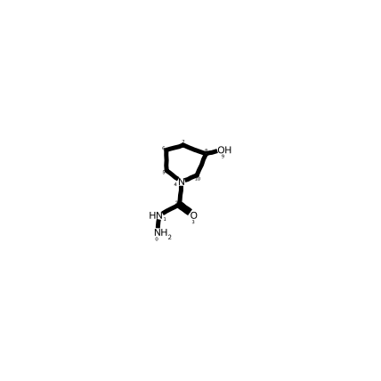 NNC(=O)N1CCCC(O)C1